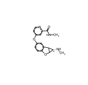 CNC(=O)c1cc(Oc2ccc3c(c2)C2C(O3)[C@H]2NC)ccn1